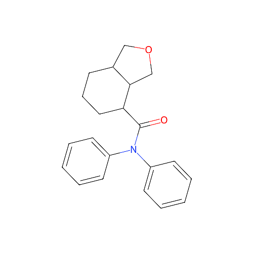 O=C(C1CCCC2COCC21)N(c1ccccc1)c1ccccc1